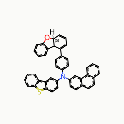 C1=C[C@@H]2Oc3ccccc3C2C(c2ccc(N(c3ccc4ccc5ccccc5c4c3)c3ccc4sc5ccccc5c4c3)cc2)=C1